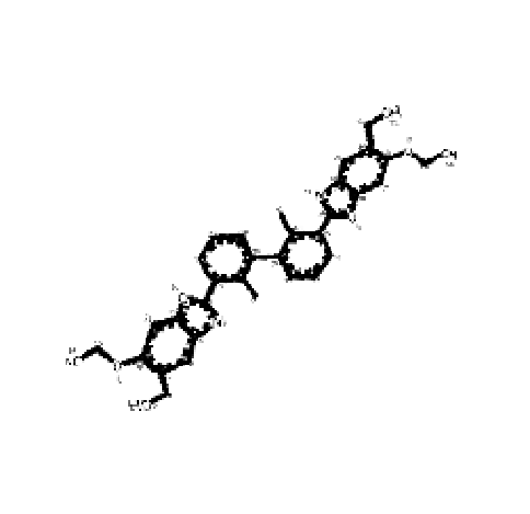 Cc1c(-c2nc3cc(CO)c(OCC#N)cc3o2)cccc1-c1cccc(-c2nc3cc(CO)c(OCC#N)cc3o2)c1C